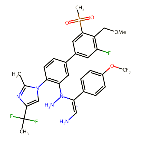 COCc1c(F)cc(-c2ccc(-n3cc(C(C)(F)F)nc3C)c(N(N)/C(=C\N)c3ccc(OC(F)(F)F)cc3)c2)cc1S(C)(=O)=O